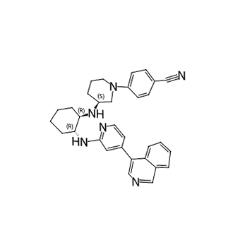 N#Cc1ccc(N2CCC[C@H](N[C@@H]3CCCC[C@H]3Nc3cc(-c4cncc5ccccc45)ccn3)C2)cc1